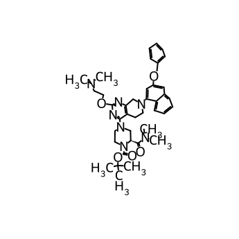 CN(C)CCOc1nc2c(c(N3CCN(C(=O)OC(C)(C)C)[C@H](C(=O)N(C)C)C3)n1)CCN(c1cc(OCc3ccccc3)cc3ccccc13)C2